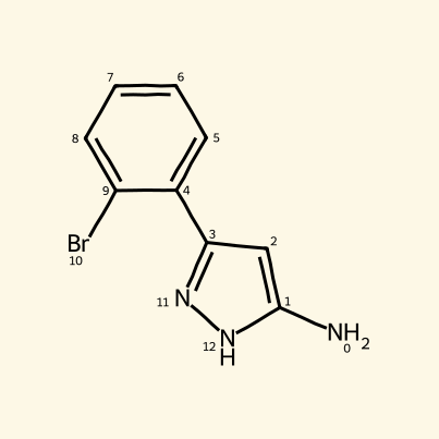 Nc1cc(-c2ccccc2Br)n[nH]1